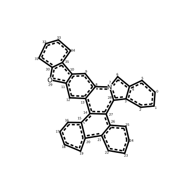 c1ccc2c(c1)cn1c3cc4c(cc3c3c5ccccc5c5ccccc5c3c21)oc1ccccc14